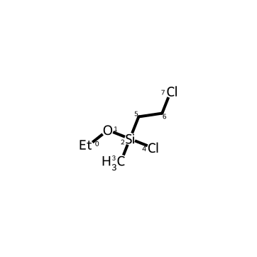 CCO[Si](C)(Cl)CCCl